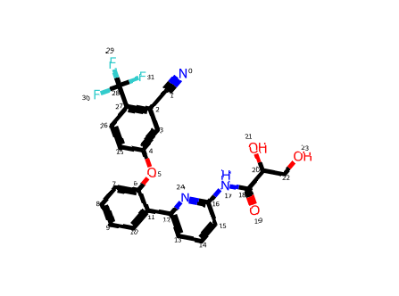 N#Cc1cc(Oc2ccccc2-c2cccc(NC(=O)C(O)CO)n2)ccc1C(F)(F)F